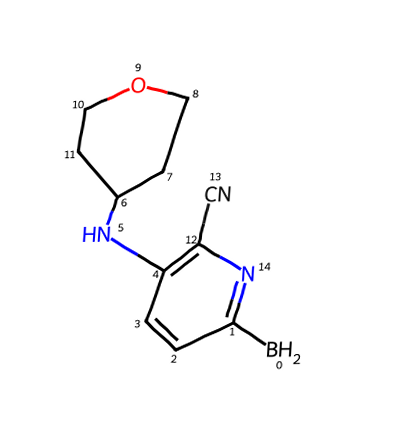 Bc1ccc(NC2CCOCC2)c(C#N)n1